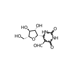 O=Cc1c([C@@H]2O[C@H](CO)[C@@H](O)[C@@H]2O)[nH]c(=O)[nH]c1=O